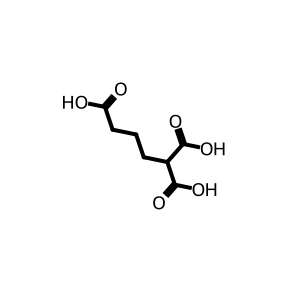 O=C(O)CCCC(C(=O)O)C(=O)O